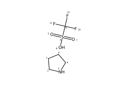 C1CCNC1.O=S(=O)(O)C(F)(F)F